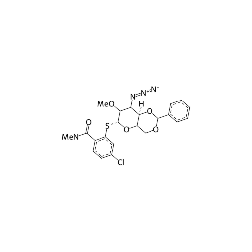 CNC(=O)c1ccc(Cl)cc1S[C@H]1OC2COC(c3ccccc3)O[C@@H]2C(N=[N+]=[N-])C1OC